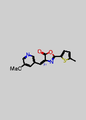 COc1cncc(/C=C2/N=C(c3ccc(C)s3)OC2=O)c1